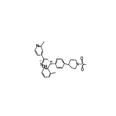 Cc1cc(/C(C[C@H](c2ccc(C3CCN(S(C)(=O)=O)CC3)cc2)c2ccccc2C)=N/O)ccn1